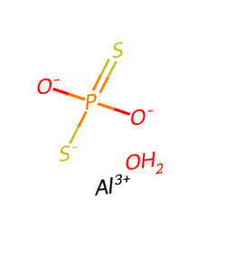 O.[Al+3].[O-]P([O-])(=S)[S-]